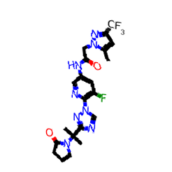 Cc1cc(C(F)(F)F)nn1CC(=O)Nc1cnc(-n2cnc(C(C)(C)N3CCCC3=O)n2)c(F)c1